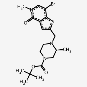 C[C@H]1CN(C(=O)OC(C)(C)C)CCN1Cc1cc2c(=O)n(C)cc(Br)c2s1